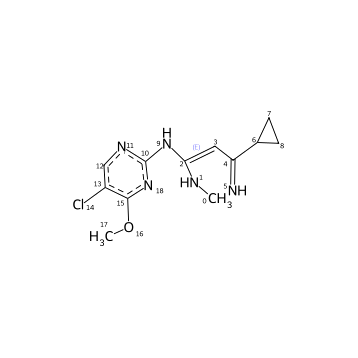 CN/C(=C\C(=N)C1CC1)Nc1ncc(Cl)c(OC)n1